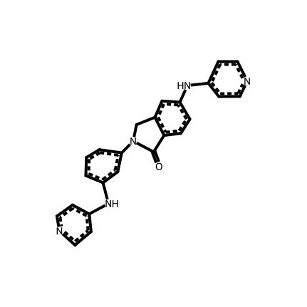 O=C1c2ccc(Nc3ccncc3)cc2CN1c1cccc(Nc2ccncc2)c1